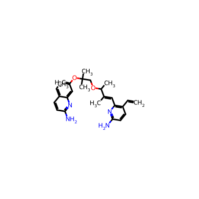 C=Cc1ccc(N)nc1/C=C(\C)C(C)OCC(C)(C)OC(=C)/C=c1/nc(N)cc/c1=C/C